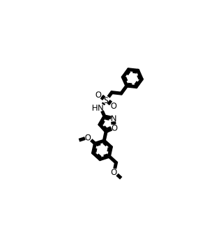 COCc1ccc(OC)c(-c2cc(NS(=O)(=O)CCc3ccccc3)no2)c1